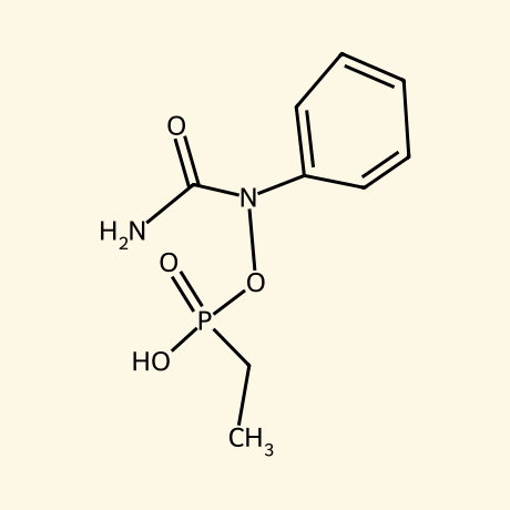 CCP(=O)(O)ON(C(N)=O)c1ccccc1